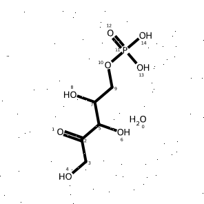 O.O=C(CO)C(O)C(O)COP(=O)(O)O